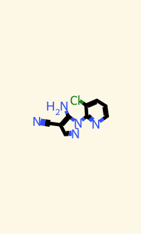 N#Cc1cnn(-c2ncccc2Cl)c1N